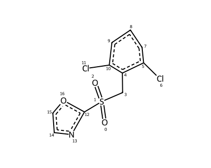 O=S(=O)(Cc1c(Cl)cccc1Cl)c1ncco1